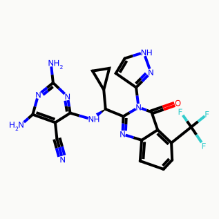 N#Cc1c(N)nc(N)nc1N[C@H](c1nc2cccc(C(F)(F)F)c2c(=O)n1-c1cc[nH]n1)C1CC1